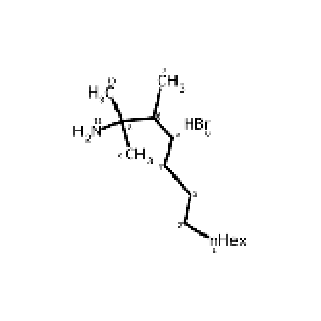 Br.CCCCCCCCCCC(C)C(C)(C)N